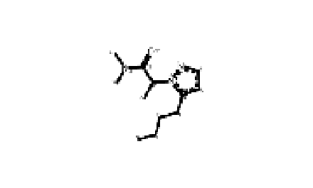 CCCCc1ccnn1C(C)C(=O)N(C)C